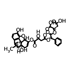 CN1CC[C@]23c4c5ccc(O)c4O[C@H]2C(OC(=O)[C@@H](O)CC(=O)O[C@H](C(=O)O[C@H](CC(=O)O)C(=O)O)c2ccccc2)=CC[C@@]3(O)[C@H]1C5